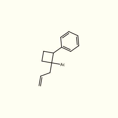 C=CCC1(C(C)=O)CCC1c1ccccc1